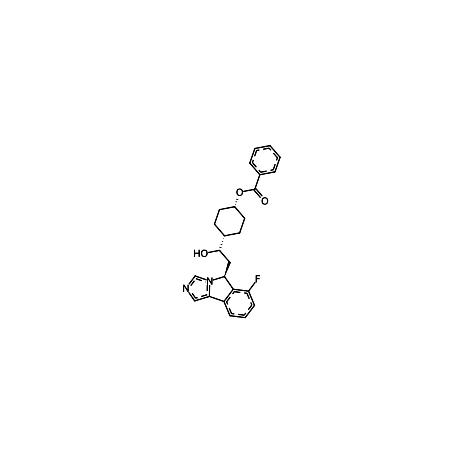 O=C(O[C@H]1CC[C@@H](C(O)C[C@H]2c3c(F)cccc3-c3cncn32)CC1)c1ccccc1